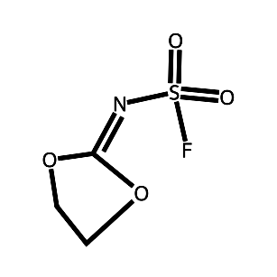 O=S(=O)(F)N=C1OCCO1